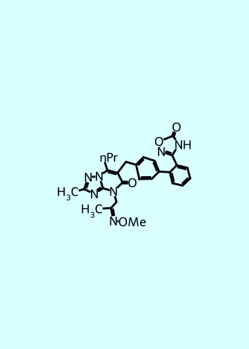 CCCc1c(Cc2ccc(-c3ccccc3-c3noc(=O)[nH]3)cc2)c(=O)n(C/C(C)=N\OC)c2nc(C)nn12